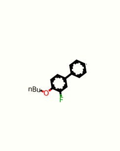 CCCCOc1ccc(-c2cc[c]cc2)cc1F